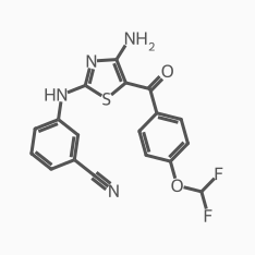 N#Cc1cccc(Nc2nc(N)c(C(=O)c3ccc(OC(F)F)cc3)s2)c1